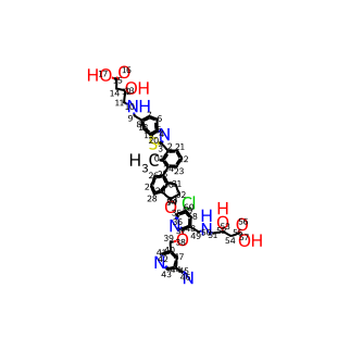 Cc1c(-c2nc3ccc(CNCC(O)CC(=O)O)cc3s2)cccc1-c1cccc2c1CC[C@@H]2Oc1nc(OCc2cncc(C#N)c2)c(CNCC(O)CC(=O)O)cc1Cl